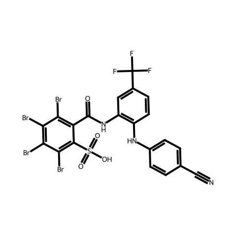 N#Cc1ccc(Nc2ccc(C(F)(F)F)cc2NC(=O)c2c(Br)c(Br)c(Br)c(Br)c2S(=O)(=O)O)cc1